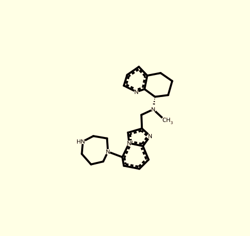 CN(Cc1cn2c(N3CCCNCC3)cccc2n1)[C@H]1CCCc2cccnc21